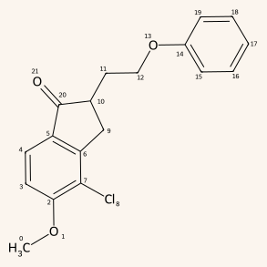 COc1ccc2c(c1Cl)CC(CCOc1ccccc1)C2=O